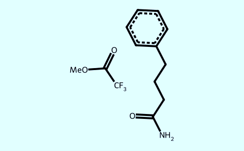 COC(=O)C(F)(F)F.NC(=O)CCCc1ccccc1